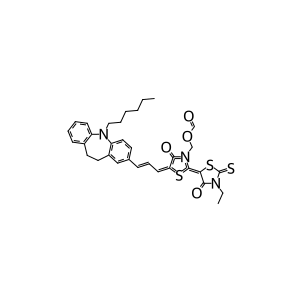 CCCCCCN1c2ccccc2CCc2cc(/C=C/C=c3/s/c(=C4/SC(=S)N(CC)C4=O)n(COC=O)c3=O)ccc21